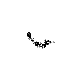 CN1CCC(Nc2c(Cl)cnc3[nH]c(-c4ccc(OCCNC(=O)c5ccncc5)cc4)nc23)CC1